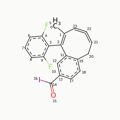 C/C1=C(\c2c(F)cccc2F)c2cc(C(=O)I)ccc2CC=C=C1